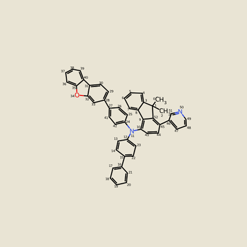 CC1(C)c2ccccc2-c2c(N(c3ccc(-c4ccccc4)cc3)c3ccc(-c4ccc5c(c4)oc4ccccc45)cc3)ccc(-c3cccnc3)c21